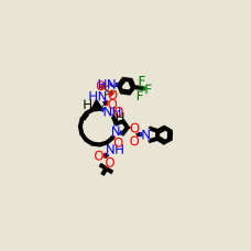 CC(C)(C)OC(=O)N[C@H]1CCCCC/C=C\[C@@H]2C[C@@]2(C(=O)NS(=O)(=O)Nc2ccc(C(F)(F)F)cc2)NC(=O)[C@@H]2C[C@@H](OC(=O)N3Cc4ccccc4C3)CN2C1=O